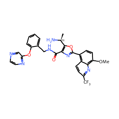 COc1ccc(-c2nc(C(=O)NCc3ccccc3Oc3cnccn3)c([C@H](C)N)o2)c2ccc(C(F)(F)F)nc12